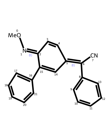 CO/N=C1C=C/C(=C(\C#N)c2ccccc2)C=C\1c1ccccc1